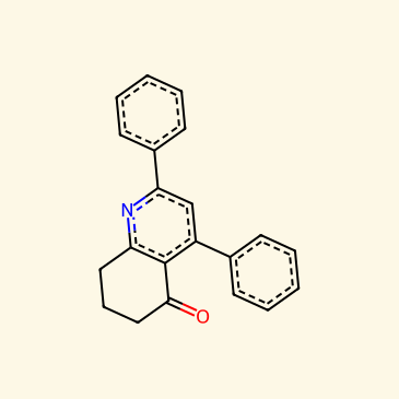 O=C1CCCc2nc(-c3ccccc3)cc(-c3ccccc3)c21